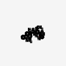 COc1cc(C(=O)N2C[C@H]3CC[C@@H]2[C@@H]3N)cc2nc(-c3cc4ccc(-c5ccccc5C(N)=O)cc4n3CC3CC3)n(C)c12